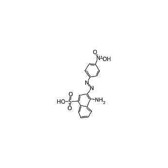 Nc1c(/N=N/c2ccc([N+](=O)O)cc2)cc(S(=O)(=O)O)c2ccccc12